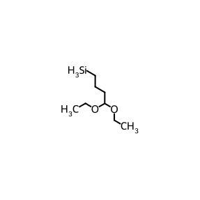 CCOC(CCC[SiH3])OCC